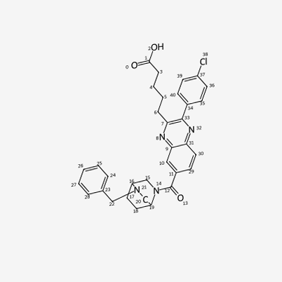 O=C(O)CCCCc1nc2cc(C(=O)N3CC4CCC3CN4Cc3ccccc3)ccc2nc1-c1ccc(Cl)cc1